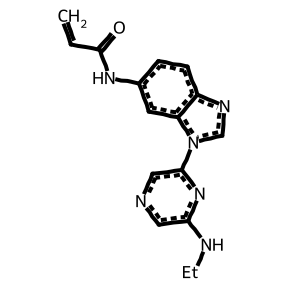 C=CC(=O)Nc1ccc2ncn(-c3cncc(NCC)n3)c2c1